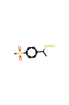 CC(SS)c1ccc(S(C)(=O)=O)cc1